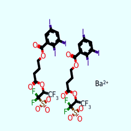 O=C(CCCOC(=O)c1cc(I)cc(I)c1I)OC(C(F)(F)F)C(F)(F)S(=O)(=O)[O-].O=C(CCCOC(=O)c1cc(I)cc(I)c1I)OC(C(F)(F)F)C(F)(F)S(=O)(=O)[O-].[Ba+2]